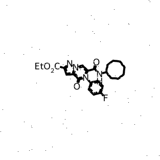 CCOC(=O)c1cc2c(=O)n(-c3ccc(F)cc3)c(C(=O)NC3CCCCCCC3)cn2n1